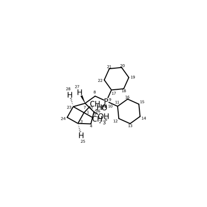 CC1(C)[C@H]2C[C@H](O)[C@@H](CP(=O)(C3CCCCC3)C3CCCCC3)[C@@H]1C2